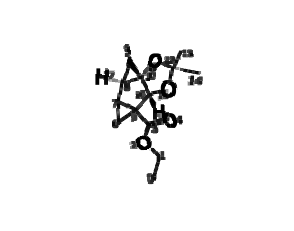 CCOC(=O)C12CC1[C@H]1C[C@]13OC(C)(C)O[C@H]23